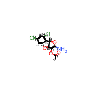 CC(=O)OC1=C(N)OC(C)(c2ccc(Cl)cc2Cl)C1=O